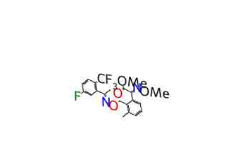 CO/N=C(/C(=O)OC)c1cccc(C)c1CO/N=C(\C)c1cc(F)ccc1C(F)(F)F